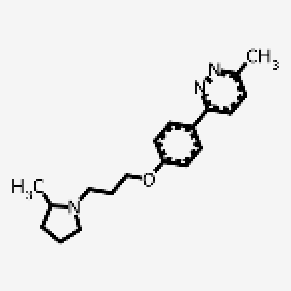 Cc1ccc(-c2ccc(OCCCN3CCCC3C)cc2)nn1